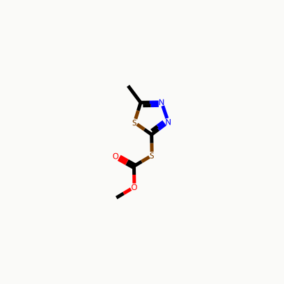 COC(=O)Sc1nnc(C)s1